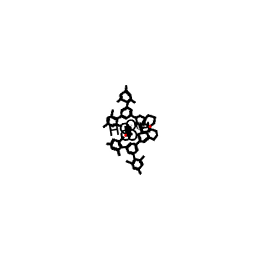 Cc1cc(C)c(-c2cc(-c3cc4c(c5c3OP(=O)(O)OC3C(c6cc(-c7c(C)cc(C)cc7C)cc(-c7c(C)cc(C)cc7C)c6)CC6=C(CCCC6)[C@H]53)CCCC4)cc(-c3c(C)cc(C)cc3C)c2)c(C)c1